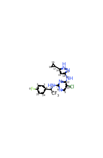 Fc1ccc([C@@H](Nc2ncc(Cl)c(Nc3cc(C4CC4)[nH]n3)n2)C(F)(F)F)cc1